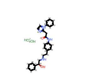 Cl.Cl.O=C(Cc1nccn1-c1ccccc1)Nc1ccc(CCNCC(O)c2ccccc2)cc1